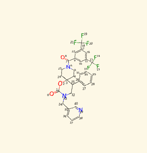 O=C1OC2(CCN(C(=O)c3cc(C(F)(F)F)cc(C(F)(F)F)c3)CC2)C(c2ccccc2)CN1Cc1cccnc1